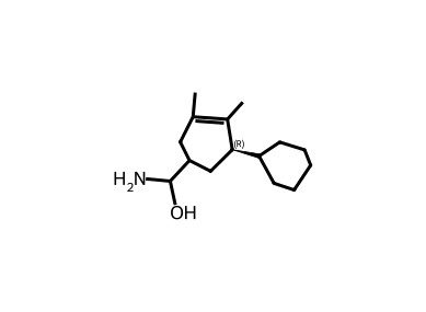 CC1=C(C)[C@@H](C2CCCCC2)CC(C(N)O)C1